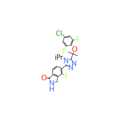 CC(C)n1c(-c2ccc3c(c2F)CNC3=O)nnc1C(C)(C)Oc1c(F)cc(Cl)cc1F